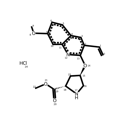 C=Cc1cc2ccc(OC)cc2nc1O[C@H]1CN[C@H](C(=O)OC)C1.Cl